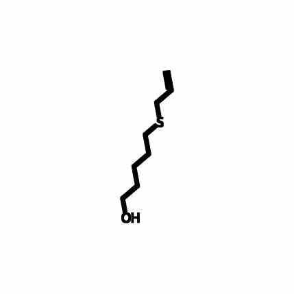 C=CCSCCCCCO